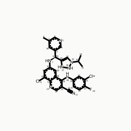 Cc1cncc([C@H](Nc2cc(Cl)c3ncc(C#N)c(Nc4ccc(F)c(Cl)c4)c3c2)C2=CN(C(C)C)NN2)c1